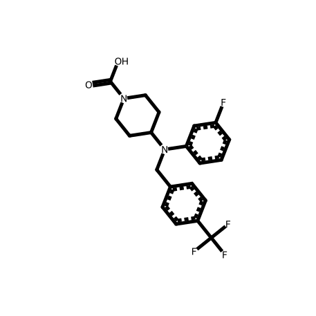 O=C(O)N1CCC(N(Cc2ccc(C(F)(F)F)cc2)c2cccc(F)c2)CC1